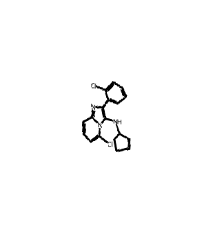 Clc1ccccc1-c1nc2cccc(Cl)n2c1NC1CCCC1